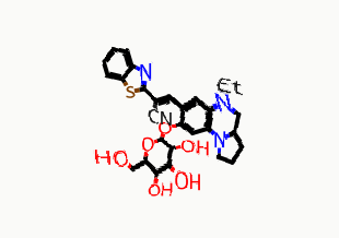 CCN1CC2CCCN2c2cc(OC3OC(CO)C(O)C(O)C3O)c(/C=C(\C#N)c3nc4ccccc4s3)cc21